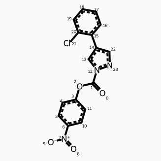 O=C(Oc1ccc([N+](=O)[O-])cc1)n1cc(-c2ccccc2Cl)cn1